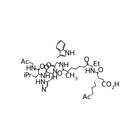 CC[C@H](NC(=O)[C@@H](CCCCC(C)=O)CC(=O)O)C(=O)CCCC[C@@H](C)C(=O)N[C@@H](Cc1c[nH]c2ccccc12)C(=O)N[C@@H](Cc1cnc[nH]1)C(=O)N[C@@H](CC(C)C)C(=O)NCC(C)=O